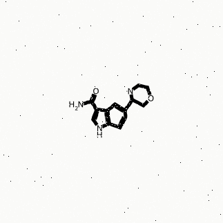 NC(=O)c1c[nH]c2ccc(C3COCC[N]3)cc12